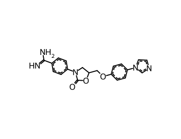 N=C(N)c1ccc(N2CC(COc3ccc(-n4ccnc4)cc3)OC2=O)cc1